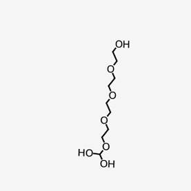 OCCOCCOCCOCCOC(O)O